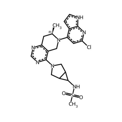 C[C@@H]1Cc2ncnc(N3CC4C(C3)C4NS(C)(=O)=O)c2CN1c1cc(Cl)nc2[nH]ccc12